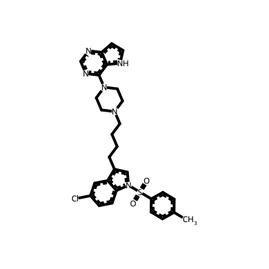 Cc1ccc(S(=O)(=O)n2cc(CCCCN3CCN(c4ncnc5cc[nH]c45)CC3)c3cc(Cl)ccc32)cc1